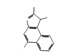 CC1=Nc2cc(C)c3ccccc3c2C1C